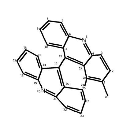 Cc1ccc2nc3ccccc3c(-c3c4ccccc4nc4ccccc34)c2c1C